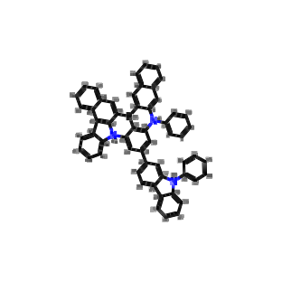 c1ccc(N2c3cc4ccccc4cc3B3c4c2cc(-c2ccc5c6ccccc6n(-c6ccccc6)c5c2)cc4-n2c4ccccc4c4c5ccccc5cc3c42)cc1